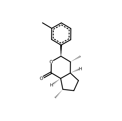 Cc1cccc([C@@H]2OC(=O)[C@H]3[C@H](CC[C@@H]3C)[C@H]2C)c1